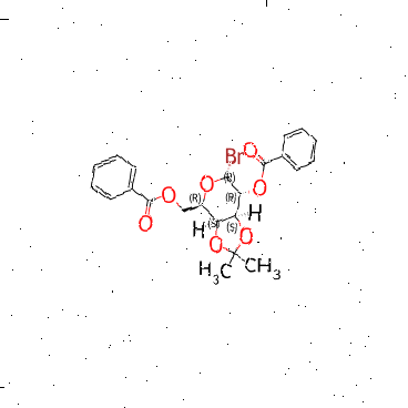 CC1(C)O[C@@H]2[C@@H](OC(=O)c3ccccc3)[C@@H](Br)O[C@H](COC(=O)c3ccccc3)[C@@H]2O1